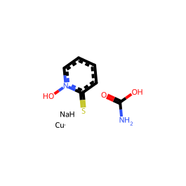 NC(=O)O.On1ccccc1=S.[Cu].[NaH]